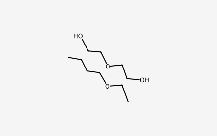 CCCCOCC.OCCOCCO